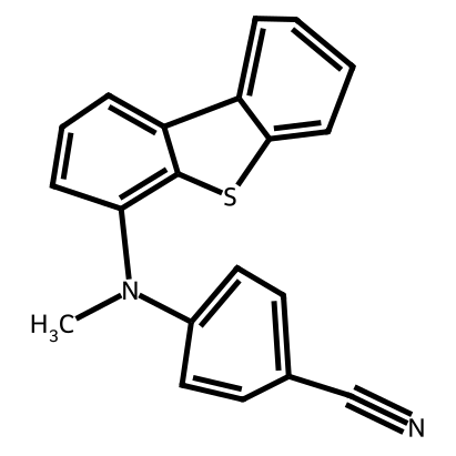 CN(c1ccc(C#N)cc1)c1cccc2c1sc1ccccc12